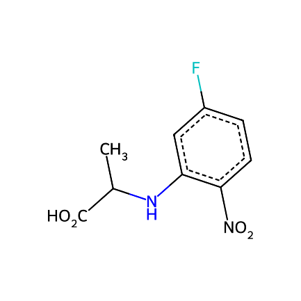 CC(Nc1cc(F)ccc1[N+](=O)[O-])C(=O)O